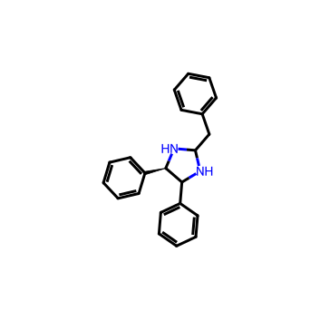 c1ccc(CC2NC(c3ccccc3)[C@@H](c3ccccc3)N2)cc1